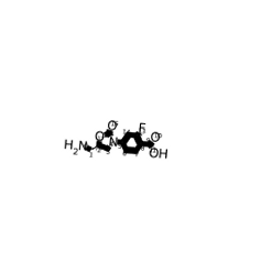 NC[C@H]1CN(c2ccc(C(=O)O)c(F)c2)C(=O)O1